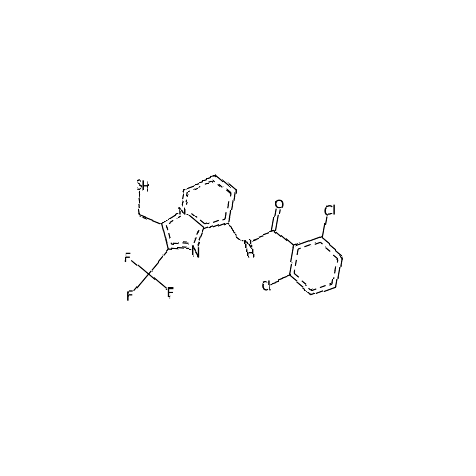 O=C(Nc1cccn2c(CS)c(C(F)(F)F)nc12)c1c(Cl)cccc1Cl